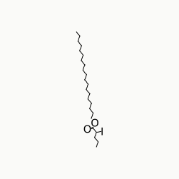 CCCCCCCCCCCCCCCCCCCOC(=O)C(I)CCC